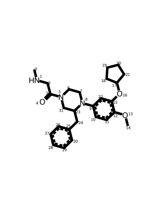 CNCC(=O)N1CCN(c2ccc(OC)c(OC3CCCC3)c2)C(Cc2ccccc2)C1